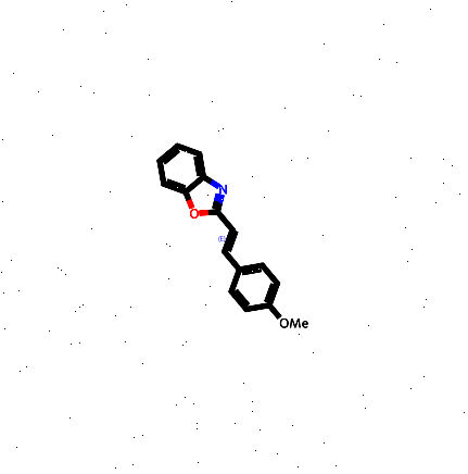 COc1ccc(/C=C/c2nc3ccccc3o2)cc1